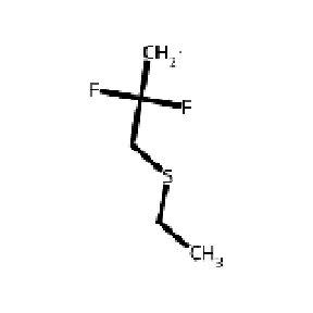 [CH2]C(F)(F)CSCC